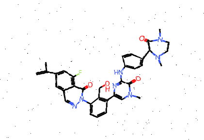 C=C(C)c1cc(F)c2c(=O)n(-c3cccc(-c4cn(C)c(=O)c(Nc5ccc(C6C(=O)N(C)CCN6C)cc5)n4)c3CO)ncc2c1